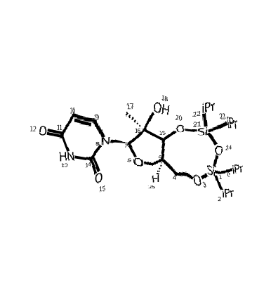 CC(C)[Si]1(C(C)C)OC[C@H]2O[C@@H](n3ccc(=O)[nH]c3=O)[C@@](C)(O)C2O[Si](C(C)C)(C(C)C)O1